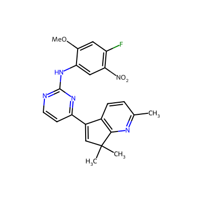 COc1cc(F)c([N+](=O)[O-])cc1Nc1nccc(C2=CC(C)(C)c3nc(C)ccc32)n1